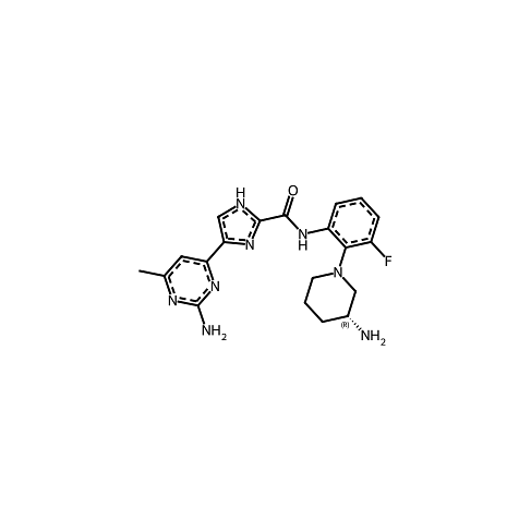 Cc1cc(-c2c[nH]c(C(=O)Nc3cccc(F)c3N3CCC[C@@H](N)C3)n2)nc(N)n1